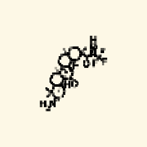 CC1(C)C2CC[C@]3(C)[C@H](C(=O)C=C4[C@@H]5C[C@@](C)(C(=O)N(O)C(F)(F)F)CC[C@]5(C)CC[C@]43C)[C@@]2(C)CC[C@@H]1N